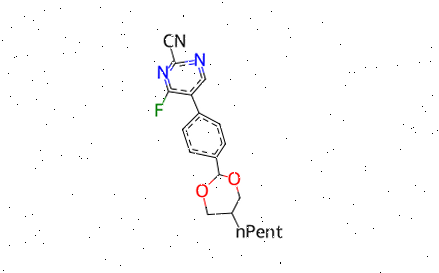 CCCCCC1COC(c2ccc(-c3cnc(C#N)nc3F)cc2)OC1